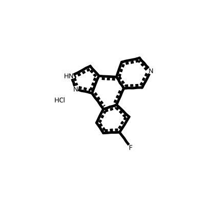 Cl.Fc1ccc2c(c1)c1cnccc1c1c[nH]nc21